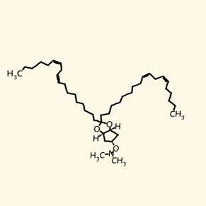 CCCCC/C=C\C/C=C\CCCCCCCCC1(CCCCCCCC/C=C\C/C=C\CCCCC)O[C@H]2C[C@H](ON(C)C)C[C@H]2O1